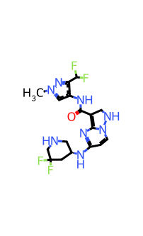 Cn1cc(NC(=O)C2=C3N=C(N[C@@H]4CNCC(F)(F)C4)C=CN3NC2)c(C(F)F)n1